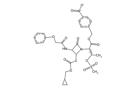 C/C(OS(C)(=O)=O)=C(\C(=O)OCc1ccc([N+](=O)[O-])cc1)N1C(=O)C(NC(=O)COc2ccccc2)C1SC(=O)OCC1CC1